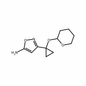 Nc1cc(C2(OC3CCCCO3)CC2)no1